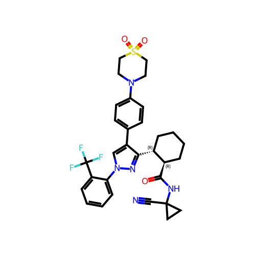 N#CC1(NC(=O)[C@@H]2CCCC[C@H]2c2nn(-c3ccccc3C(F)(F)F)cc2-c2ccc(N3CCS(=O)(=O)CC3)cc2)CC1